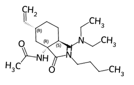 C=C[C@@H]1CC[C@@H](CN(CC)CC)[C@@](NC(C)=O)(C(=O)NCCCC)C1